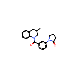 CC1Cc2ccccc2N(C(=O)c2cccc(N3CCCC3=O)c2)C1